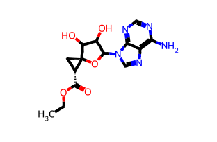 CCOC(=O)[C@@H]1C[C@@]12OC(n1cnc3c(N)ncnc31)C(O)C2O